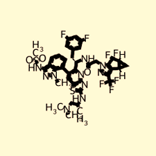 CC(CN(C)C)Nc1nc2nc([C@H](Cc3cc(F)cc(F)c3)NC(=O)Cn3nc(C(F)(F)F)c4c3C(F)(F)[C@@H]3C[C@H]43)c(-c3cccc4c(NS(C)(=O)=O)nn(C)c34)cc2s1